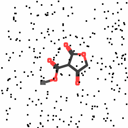 CCOC(=O)C1C(=O)COC1=O